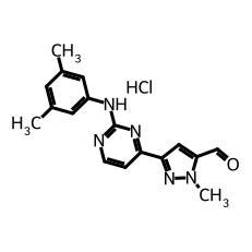 Cc1cc(C)cc(Nc2nccc(-c3cc(C=O)n(C)n3)n2)c1.Cl